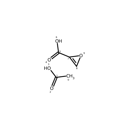 CC(=O)O.O=C(O)C1=CO1